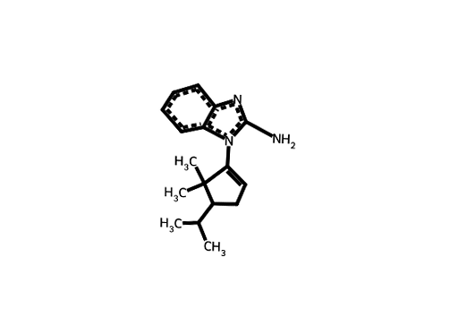 CC(C)C1CC=C(n2c(N)nc3ccccc32)C1(C)C